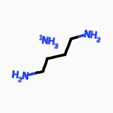 NCCCCN.[1NH3]